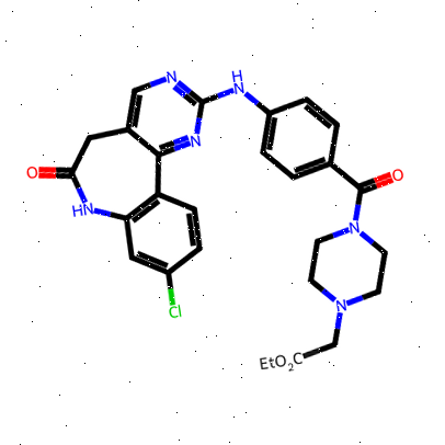 CCOC(=O)CN1CCN(C(=O)c2ccc(Nc3ncc4c(n3)-c3ccc(Cl)cc3NC(=O)C4)cc2)CC1